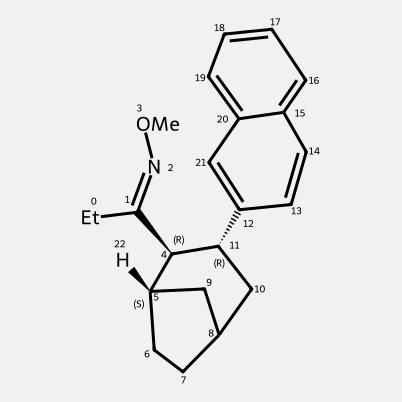 CCC(=NOC)[C@@H]1[C@H]2CCC(C2)C[C@H]1c1ccc2ccccc2c1